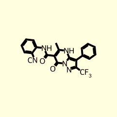 Cc1[nH]c2c(-c3ccccc3)c(C(F)(F)F)nn2c(=O)c1C(=O)Nc1ccccc1C#N